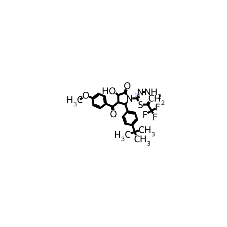 C=C(S/C(=N\N)N1C(=O)C(O)C(C(=O)c2ccc(OC)cc2)C1c1ccc(C(C)(C)C)cc1)C(F)(F)F